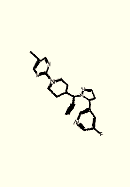 C#CC(C1CCN(c2ncc(C)cn2)CC1)N1N=CCC1c1cncc(F)c1